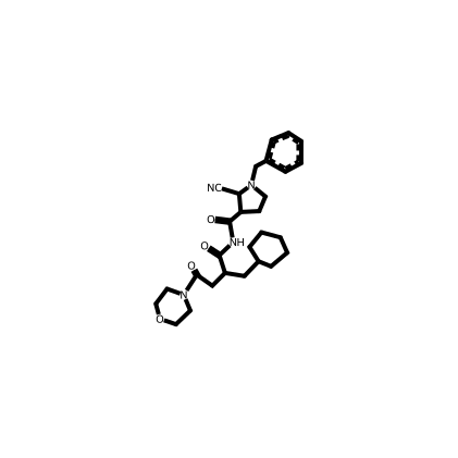 N#CC1C(C(=O)NC(=O)C(CC(=O)N2CCOCC2)CC2CCCCC2)CCN1Cc1ccccc1